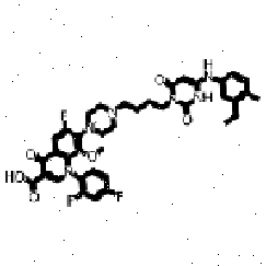 CCc1cc(Nc2cc(=O)n(CCCCN3CCN(c4c(F)cc5c(=O)c(C(=O)O)cn(-c6ccc(F)cc6F)c5c4OC)CC3)c(=O)[nH]2)ccc1C